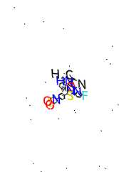 CC1CC1(C#N)NC(=O)C1CCCC[C@H]1c1nc(-c2ccc(F)cn2)sc1-c1ccc(N2CCS(=O)(=O)CC2)cc1